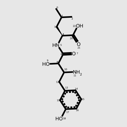 CC(C)C[C@H](NC(=O)C(O)C(N)Cc1cccc(O)c1)C(=O)O